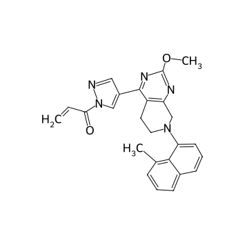 C=CC(=O)n1cc(-c2nc(OC)nc3c2CCN(c2cccc4cccc(C)c24)C3)cn1